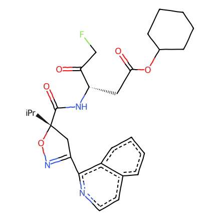 CC(C)[C@@]1(C(=O)N[C@@H](CC(=O)OC2CCCCC2)C(=O)CF)CC(c2nccc3ccccc23)=NO1